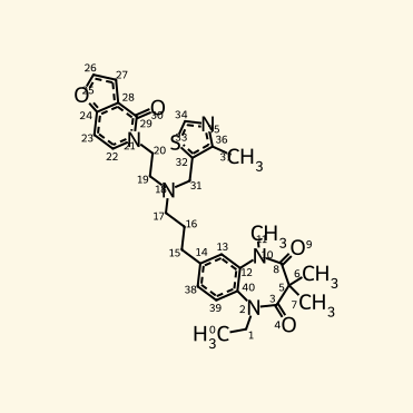 CCN1C(=O)C(C)(C)C(=O)N(C)c2cc(CCCN(CCn3ccc4occc4c3=O)Cc3scnc3C)ccc21